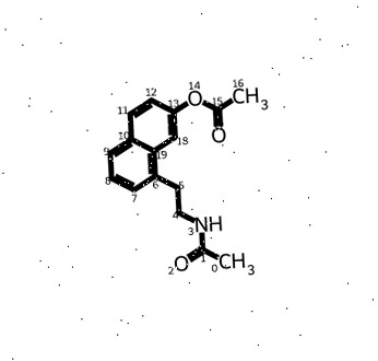 CC(=O)NCCc1cccc2ccc(OC(C)=O)cc12